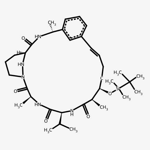 CC(C)[C@@H]1NC(=O)[C@H](C)[C@H](O[Si](C)(C)C(C)(C)C)CC/C=C/c2cccc(c2)[C@@H](C)NC(=O)[C@@H]2CCCN(N2)C(=O)[C@H](C)NC1=O